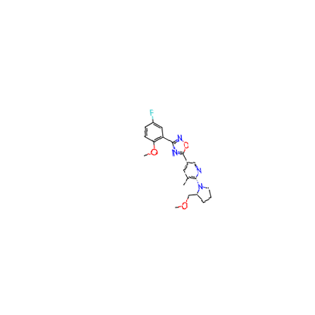 COCC1CCCN1c1ncc(-c2nc(-c3cc(F)ccc3OC)no2)cc1C